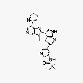 CC(C)(C)C(=O)Nc1cncc(-c2cnc3[nH]cc(-c4nc5c(-c6ccccn6)cncc5[nH]4)c3c2)c1